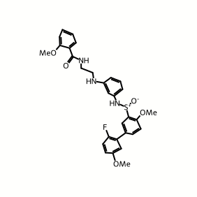 COc1ccc(F)c(-c2ccc(OC)c([S+]([O-])Nc3cccc(NCCNC(=O)c4ccccc4OC)c3)c2)c1